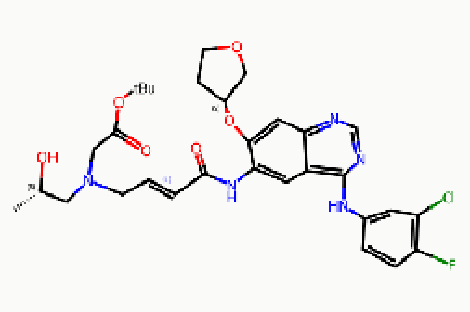 C[C@H](O)CN(C/C=C/C(=O)Nc1cc2c(Nc3ccc(F)c(Cl)c3)ncnc2cc1O[C@H]1CCOC1)CC(=O)OC(C)(C)C